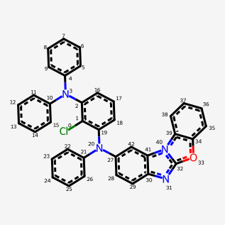 Clc1c(N(c2ccccc2)c2ccccc2)cccc1N(c1ccccc1)c1ccc2nc3oc4ccccc4n3c2c1